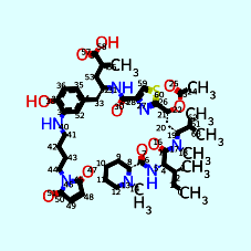 CC[C@H](C)[C@H](NC(=O)[C@H]1CCCCN1C)C(=O)N(C)[C@H](C[C@@H](OC(C)=O)c1nc(C(=O)N[C@@H](Cc2ccc(O)c(NCCCCN3C(=O)C=CC3=O)c2)CC(C)C(=O)O)cs1)C(C)C